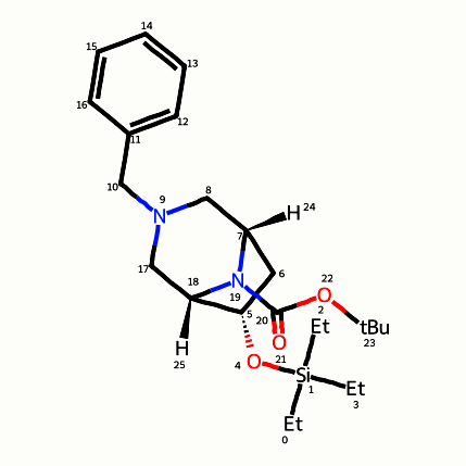 CC[Si](CC)(CC)O[C@H]1C[C@H]2CN(Cc3ccccc3)C[C@@H]1N2C(=O)OC(C)(C)C